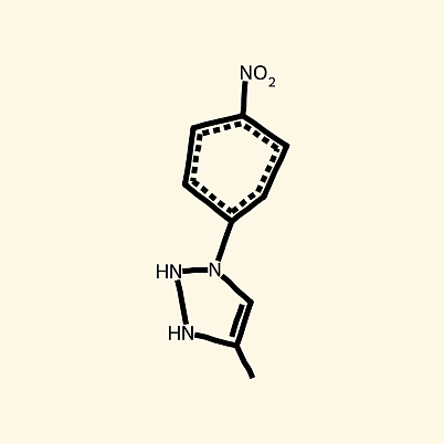 CC1=CN(c2ccc([N+](=O)[O-])cc2)NN1